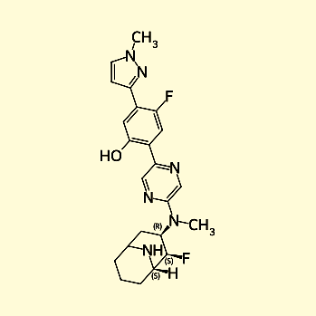 CN(c1cnc(-c2cc(F)c(-c3ccn(C)n3)cc2O)cn1)[C@@H]1CC2CCC[C@H](N2)[C@@H]1F